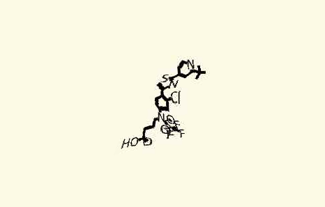 CC(C)(C)c1cc(-c2nc(-c3ccc(N(CCCC(=O)O)S(=O)(=O)C(F)(F)F)cc3Cl)cs2)ccn1